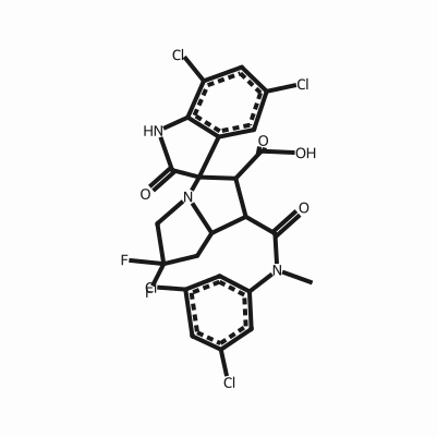 CN(C(=O)C1C2CC(F)(F)CN2C2(C(=O)Nc3c(Cl)cc(Cl)cc32)C1C(=O)O)c1cc(Cl)cc(Cl)c1